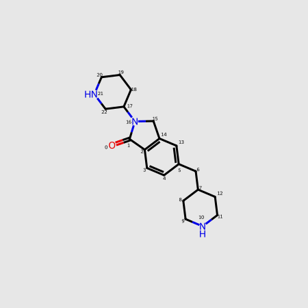 O=C1c2ccc(CC3CCNCC3)cc2CN1C1CCCNC1